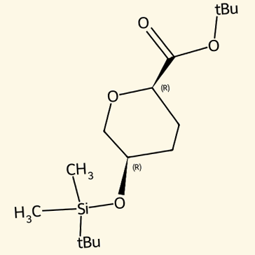 CC(C)(C)OC(=O)[C@H]1CC[C@@H](O[Si](C)(C)C(C)(C)C)CO1